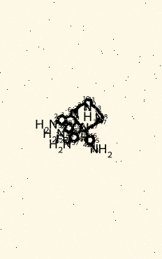 Nc1ccc(C2=Cc3cc4ccc(cc5nc(cc6[nH]c(c(-c7ccc(N)cc7)c2n3)c(-c2ccc(N)cc2)c6-c2ccc(N)cc2)C=C5)[nH]4)cc1.[Fe]